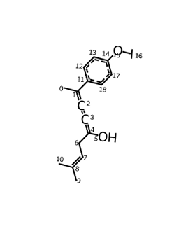 CC(=C=C=C(O)CC=C(C)C)c1ccc(OI)cc1